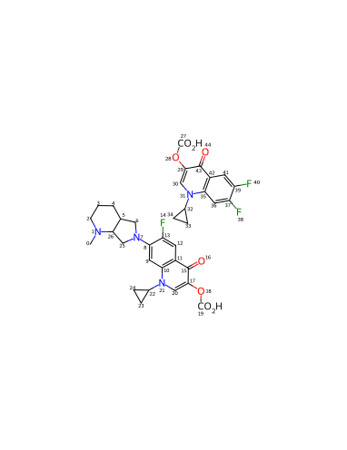 CN1CCCC2CN(c3cc4c(cc3F)c(=O)c(OC(=O)O)cn4C3CC3)CC21.O=C(O)Oc1cn(C2CC2)c2cc(F)c(F)cc2c1=O